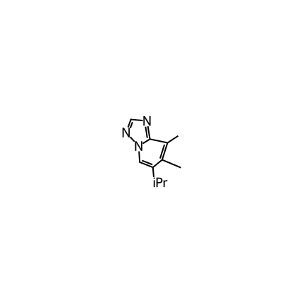 Cc1c(C(C)C)cn2ncnc2c1C